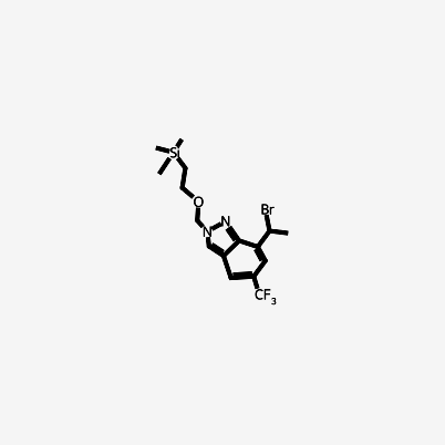 CC(Br)c1cc(C(F)(F)F)cc2cn(COCC[Si](C)(C)C)nc12